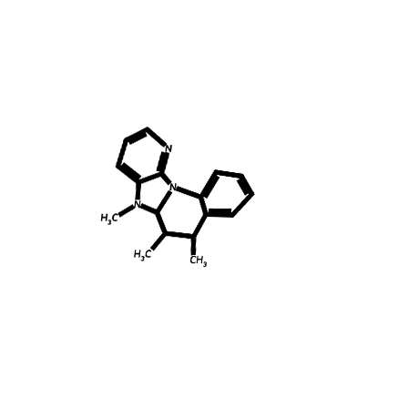 CC1c2ccccc2N2c3ncccc3N(C)C2C1C